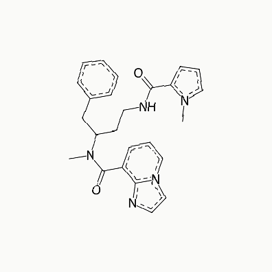 CN(C(=O)c1cccn2ccnc12)C(CCNC(=O)c1cccn1C)Cc1ccccc1